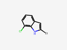 CCc1cc2cccc(Cl)c2[nH]1